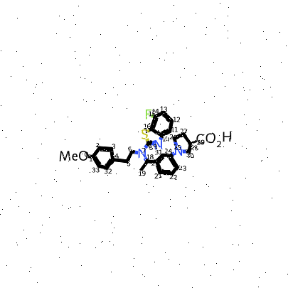 COc1ccc(CCN(c2nc3cccc(F)c3s2)C(C)c2cccc(N3CC[C@@H](C(=O)O)C3)c2)cc1